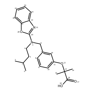 CC(C)CCN(Cc1cccc(OC(C)(C)C(=O)O)c1)c1nc2ccccc2o1